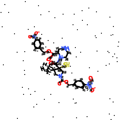 CC1(C)CN(C(=O)OCc2ccc([N+](=O)[O-])cc2)CC1(S)C(=O)N1CCNCC1C(=O)OCc1ccc([N+](=O)[O-])cc1